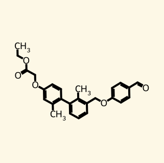 CCOC(=O)COc1ccc(-c2cccc(COc3ccc(C=O)cc3)c2C)c(C)c1